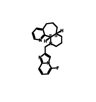 Fc1cccc2nc(CN3CCC[C@H]4CCCc5cccnc5[C@H]43)cn12